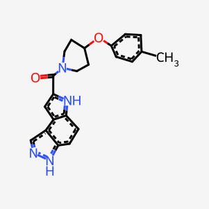 Cc1ccc(OC2CCN(C(=O)c3cc4c(ccc5[nH]ncc54)[nH]3)CC2)cc1